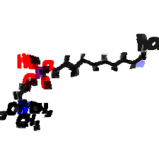 CCCCCCCC/C=C\CCCCCCCCOP(=O)(O)OCC[N+](C)(C)C